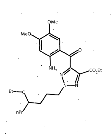 CCCC(CCCn1nc(C(=O)OCC)c(C(=O)c2cc(OC)c(OC)cc2N)n1)OCC